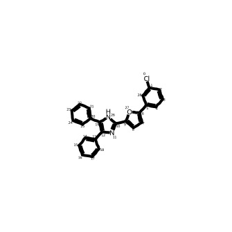 Clc1cccc(-c2ccc(-c3nc(-c4ccccc4)c(-c4ccccc4)[nH]3)o2)c1